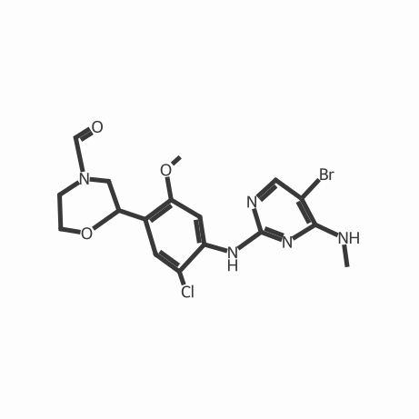 CNc1nc(Nc2cc(OC)c(C3CN(C=O)CCO3)cc2Cl)ncc1Br